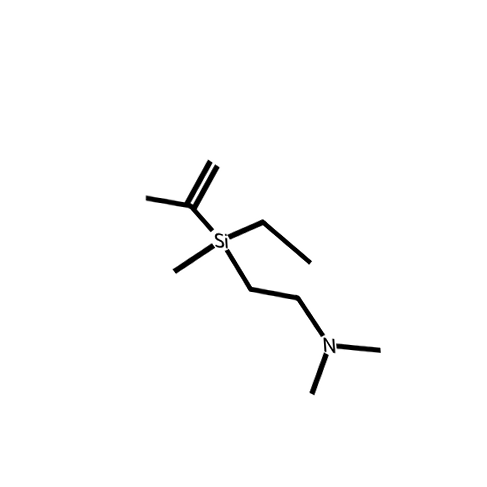 C=C(C)[Si](C)(CC)CCN(C)C